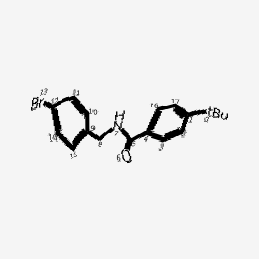 CC(C)(C)c1ccc(C(=O)NCc2ccc(Br)cc2)cc1